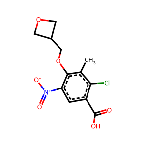 Cc1c(Cl)c(C(=O)O)cc([N+](=O)[O-])c1OCC1COC1